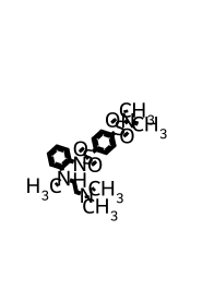 CN(C)CCN(C)c1ccccc1NS(=O)(=O)c1ccc(S(=O)(=O)N(C)C)cc1